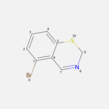 Brc1cccc2c1C=NCS2